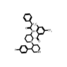 O=C(Cc1ccccc1)NC1CCCN(C2CCNCC2c2ccc(F)cc2)[C@H]1C(=O)c1cc(C(F)(F)F)cc(C(F)(F)F)c1